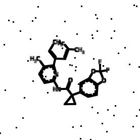 C/C=C(\C=C(\C)C(C)=O)c1nc(NC(=O)C2(c3ccc4c(c3)OC(F)(F)O4)CC2)ccc1C